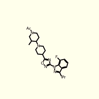 CC(=O)N1CCC(N2CCC(c3nc(-n4nc(C(C)C)c5cccc(F)c54)no3)CC2)C(C)C1